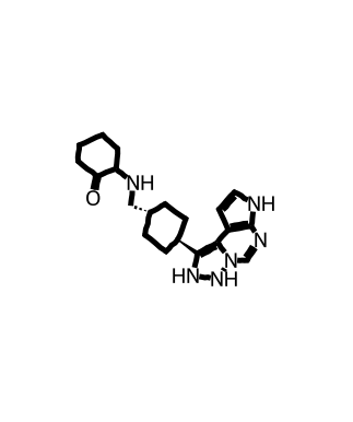 O=C1CCCCC1NC[C@H]1CC[C@H](C2=C3c4cc[nH]c4N=CN3NN2)CC1